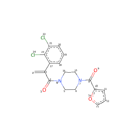 C=C(C(=O)N1CCN(C(=O)c2ccco2)CC1)c1cc[c]c(Cl)c1Cl